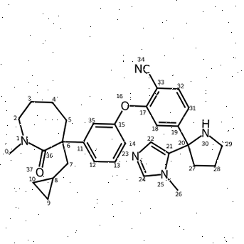 CN1CCCCC(CC2CC2)(c2cccc(Oc3cc(C4(c5cncn5C)CCCN4)ccc3C#N)c2)C1=O